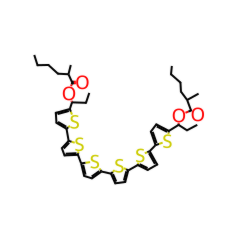 CCCCC(C)C(=O)OC(CC)c1ccc(-c2ccc(-c3ccc(-c4ccc(-c5ccc(-c6ccc(C(CC)OC(=O)C(C)CCCC)s6)s5)s4)s3)s2)s1